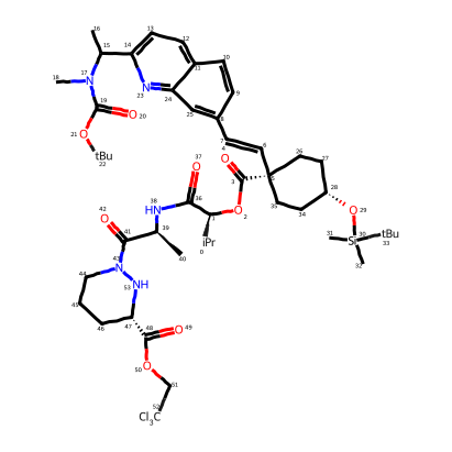 CC(C)[C@H](OC(=O)[C@]1(/C=C/c2ccc3ccc(C(C)N(C)C(=O)OC(C)(C)C)nc3c2)CC[C@H](O[Si](C)(C)C(C)(C)C)CC1)C(=O)N[C@@H](C)C(=O)N1CCC[C@@H](C(=O)OCC(Cl)(Cl)Cl)N1